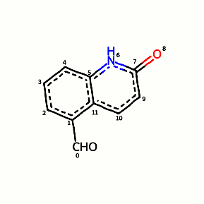 O=Cc1cccc2[nH]c(=O)ccc12